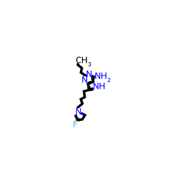 CCCCc1nc(N)c2[nH]cc(CCCCCN3CC[C@@H](F)C3)c2n1